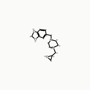 c1cc2c(cc1CN1CCN(CC3CO3)CC1)OCO2